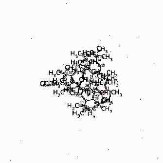 CC1=C(C)C(C)([Si](c2c([Si](C)(C)C)cc([Si](C)(C)C)c([Si](C)(C)C)c2C)(c2c([Si](C)(C)C)cc([Si](C)(C)C)c([Si](C)(C)C)c2C)c2c([Si](C)(C)C)cc([Si](C)(C)C)c([Si](C)(C)C)c2C)[C]([Ti+3])=C1C.[Cl-].[Cl-].[Cl-]